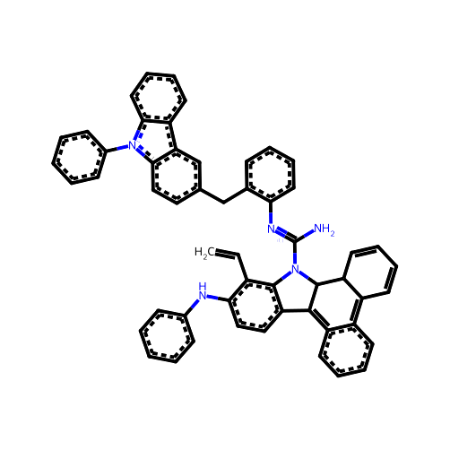 C=Cc1c(Nc2ccccc2)ccc2c1N(/C(N)=N/c1ccccc1Cc1ccc3c(c1)c1ccccc1n3-c1ccccc1)C1C2=c2ccccc2=C2C=CC=CC21